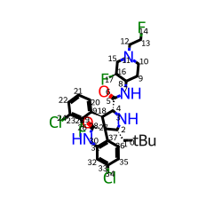 CC(C)(C)C[C@H]1N[C@@H](C(=O)NC2CCN(CCF)C[C@@H]2F)[C@H](c2cccc(Cl)c2F)[C@@]12C(=O)Nc1cc(Cl)ccc12